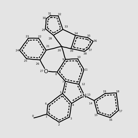 Cc1ccc2c(c1)c1c3c(ccc1n2-c1ccccc1)C1(c2ccccc2O3)c2ccccc2-c2ccccc21